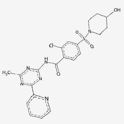 Cc1nc(NC(=O)c2ccc(S(=O)(=O)N3CCC(O)CC3)cc2Cl)nc(-c2ccccn2)n1